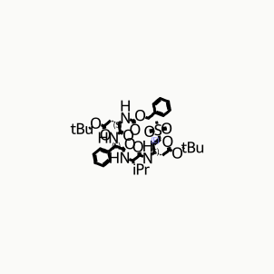 CC(C)C(NC(=O)[C@@H](NC(=O)[C@H](CC(=O)OC(C)(C)C)NC(=O)OCc1ccccc1)c1ccccc1)C(=O)N[C@H](/C=C/S(C)(=O)=O)CC(=O)OC(C)(C)C